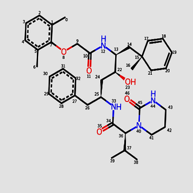 Cc1cccc(C)c1OCC(=O)N[C@@H](C[C@]1(C)C=CC=CC1)[C@@H](O)C[C@H](Cc1ccccc1)NC(=O)[C@H](C(C)C)N1CCCNC1=O